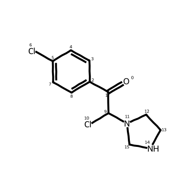 O=C(c1ccc(Cl)cc1)C(Cl)N1CCNC1